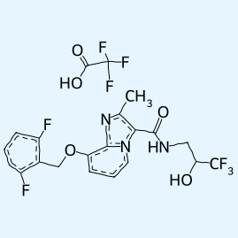 Cc1nc2c(OCc3c(F)cccc3F)cccn2c1C(=O)NCC(O)C(F)(F)F.O=C(O)C(F)(F)F